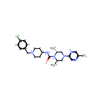 C[C@@H]1CN(c2cnc(C(F)(F)F)cn2)C[C@@H](C)N1C(=O)NC1CCN(Cc2ccc(Cl)cc2)CC1